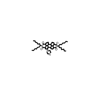 CCCCCCC(CCCCCC)N1C(=O)c2ccc3c4ccc5c6c(cc(N7CCN(C)CC7)c(c7ccc(c2c37)C1=O)c64)C(=O)N(C(CCCCCC)CCCCCC)C5=O